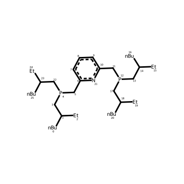 CCCCC(CC)CP(Cc1cccc(CP(CC(CC)CCCC)CC(CC)CCCC)n1)CC(CC)CCCC